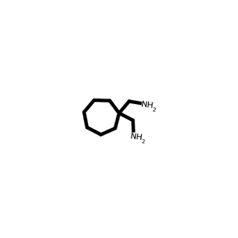 NCC1(CN)CCCCCC1